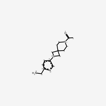 CC(=O)N1CCC2(CC1)CN(c1ccc(CN)nc1)C2